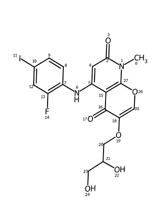 Cn1c(=O)cc(Nc2ccc(I)cc2F)c2c(=O)c(OCC(O)CO)coc21